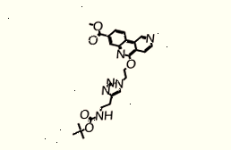 COC(=O)c1ccc2c(c1)nc(OCCn1cc(CCNC(=O)OC(C)(C)C)nn1)c1ccncc12